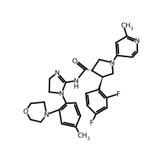 Cc1ccc(N2CCN=C2NC(=O)[C@@H]2CN(c3ccnc(C)c3)C[C@H]2c2ccc(F)cc2F)c(N2CCOCC2)c1